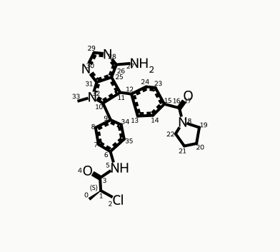 C[C@H](Cl)C(=O)Nc1ccc(-c2c(-c3ccc(C(=O)N4CCCC4)cc3)c3c(N)ncnc3n2C)cc1